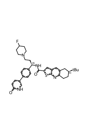 CC(C)(C)[C@H]1CCc2nc3sc(C(=O)N[C@H](CCN4CCC(F)CC4)c4ccc(-c5ccc(=O)[nH]c5)cc4)cc3cc2C1